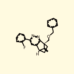 C=C1[C@@H]2CC[C@@]1(COCc1ccccc1)c1nnc(-c3ccccc3F)cc12